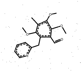 COc1c(C)c(OC)c(OC)c(C=O)c1Cc1ccccn1